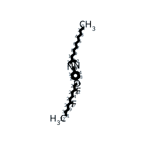 CCCCCCCCCCCc1cnc(-c2ccc(OCC(F)CCCC(F)CCCCC)cc2)nc1